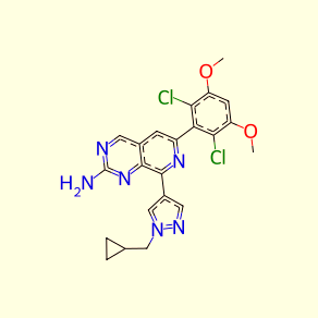 COc1cc(OC)c(Cl)c(-c2cc3cnc(N)nc3c(-c3cnn(CC4CC4)c3)n2)c1Cl